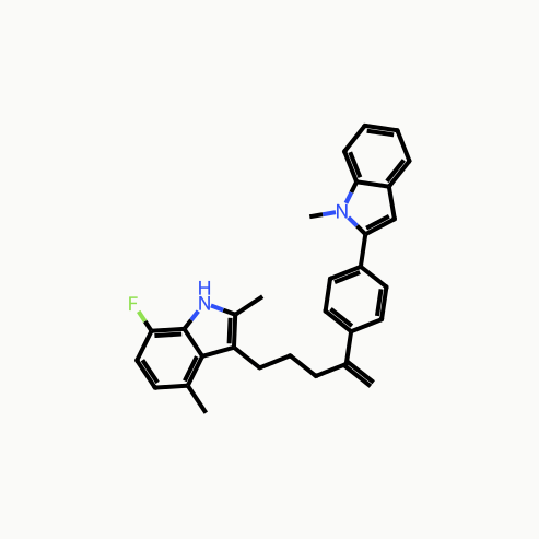 C=C(CCCc1c(C)[nH]c2c(F)ccc(C)c12)c1ccc(-c2cc3ccccc3n2C)cc1